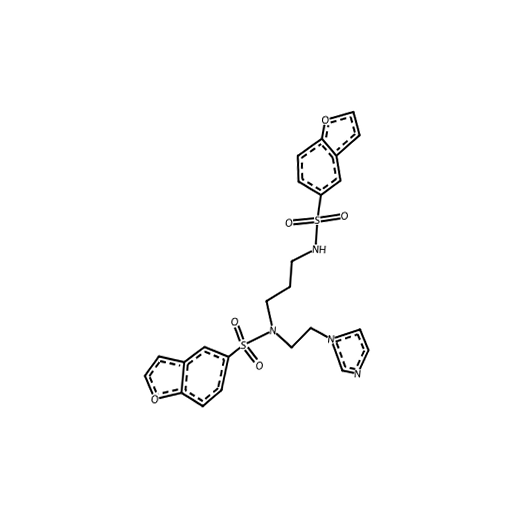 O=S(=O)(NCCCN(CCn1ccnc1)S(=O)(=O)c1ccc2occc2c1)c1ccc2occc2c1